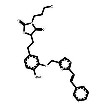 COc1ccc(CCC2OC(=O)N(CCCCl)C2=O)cc1OCc1coc(C=Cc2ccccc2)n1